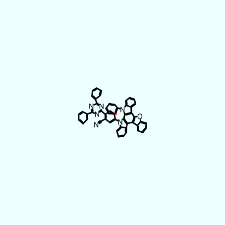 N#Cc1cc(-n2c3ccccc3c3c4c5ccccc5oc4c4c5ccccc5n(-c5ccccc5)c4c32)ccc1-c1nc(-c2ccccc2)nc(-c2ccccc2)n1